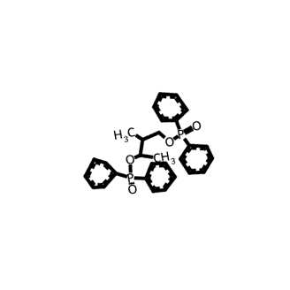 CC(COP(=O)(c1ccccc1)c1ccccc1)C(C)OP(=O)(c1ccccc1)c1ccccc1